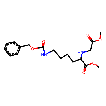 COC(=O)CNC(CCCCNC(=O)OCc1ccccc1)C(=O)OC